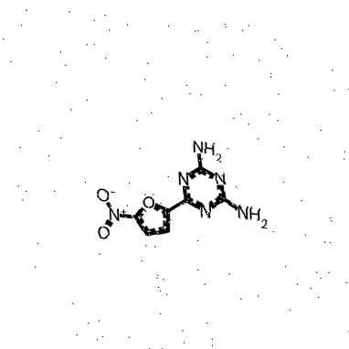 Nc1nc(N)nc(-c2ccc([N+](=O)[O-])o2)n1